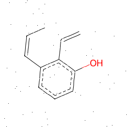 C=Cc1c(O)cccc1/C=C\C